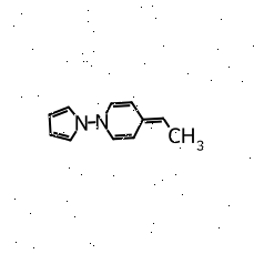 CC=C1C=CN(n2cccc2)C=C1